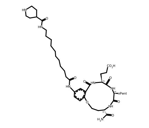 CCCCC[C@@H]1NC(=O)[C@H](CCC(=O)O)NC(=O)c2cc(NC(=O)CCCCCCCCCCNC(=O)C3CCNCC3)ccc2OCC[C@@H](C(N)=O)NC1=O